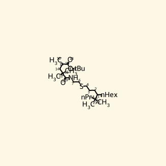 CCCCCCC(CCCSCCNC(=O)C(C)(C)CC(C)C(=O)OC(C)(C)C)C(C)(C)CCC